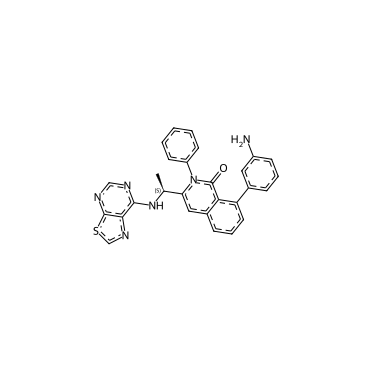 C[C@H](Nc1ncnc2scnc12)c1cc2cccc(-c3cccc(N)c3)c2c(=O)n1-c1ccccc1